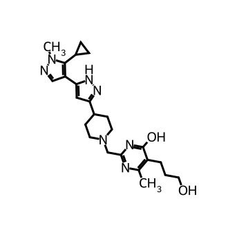 Cc1nc(CN2CCC(c3cc(-c4cnn(C)c4C4CC4)[nH]n3)CC2)nc(O)c1CCCO